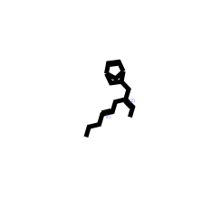 C/C=C(\C/C=C/CCC)CC1CC2C=CC1C2